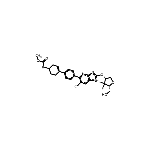 COC(=O)NC1CC=C(c2ccc(-c3nc4nc(O[C@@H]5CO[C@H](CO)C5(F)F)[nH]c4cc3Cl)cc2)CC1